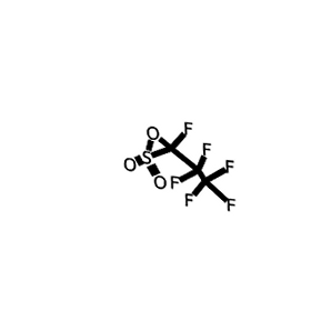 O=S1(=O)OC1(F)C(F)(F)C(F)(F)F